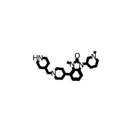 CN1CCCC(n2c(=O)n(C)c3c(C4CCN(CC5CCNCC5)CC4)cccc32)C1